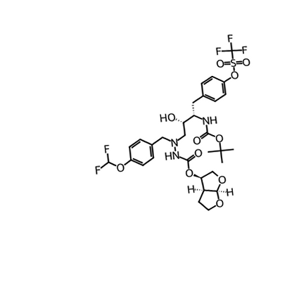 CC(C)(C)OC(=O)N[C@@H](Cc1ccc(OS(=O)(=O)C(F)(F)F)cc1)[C@@H](O)CN(Cc1ccc(OC(F)F)cc1)NC(=O)O[C@H]1CO[C@H]2OCC[C@H]21